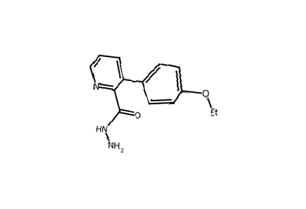 CCOc1ccc(-c2cccnc2C(=O)NN)cc1